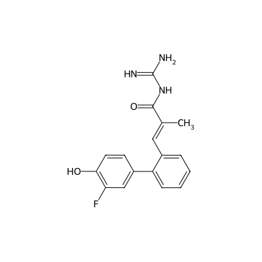 C/C(=C\c1ccccc1-c1ccc(O)c(F)c1)C(=O)NC(=N)N